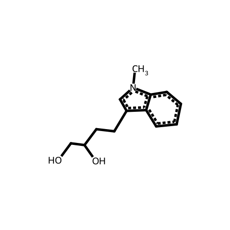 Cn1cc(CCC(O)CO)c2ccccc21